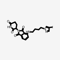 O=C1CCC(N2C(=O)c3cccc(NCCCCn4cc(I)cn4)c3C2=O)C(=O)N1